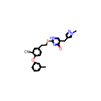 [C-]#[N+]c1cc(CCSc2nc(=O)c(Cc3cnn(C)c3)c[nH]2)ccc1Oc1cccc(C)c1